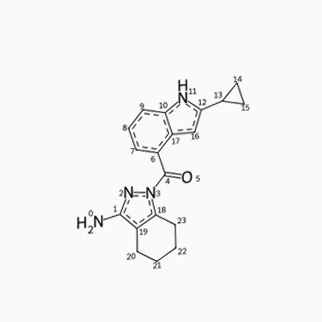 Nc1nn(C(=O)c2cccc3[nH]c(C4CC4)cc23)c2c1CCCC2